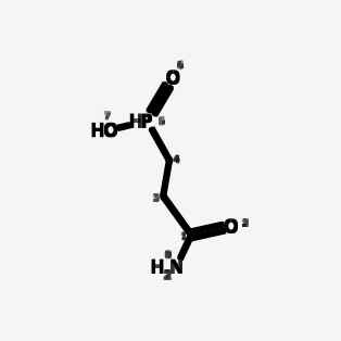 NC(=O)CC[PH](=O)O